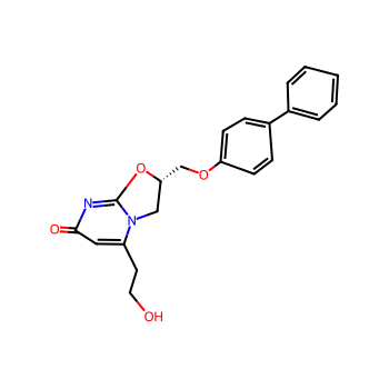 O=c1cc(CCO)n2c(n1)O[C@H](COc1ccc(-c3ccccc3)cc1)C2